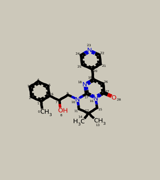 Cc1ccccc1C(O)CN1CC(C)(C)Cn2c1nc(-c1ccncc1)cc2=O